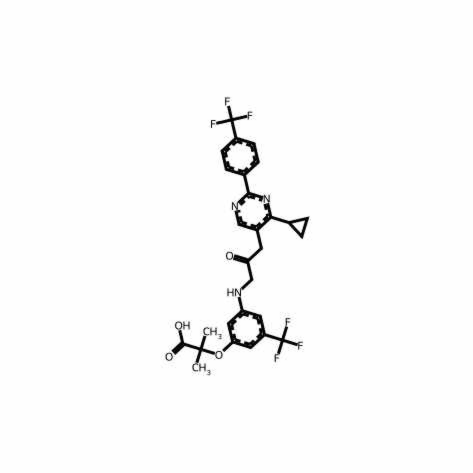 CC(C)(Oc1cc(NCC(=O)Cc2cnc(-c3ccc(C(F)(F)F)cc3)nc2C2CC2)cc(C(F)(F)F)c1)C(=O)O